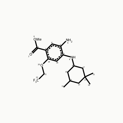 COC(=O)c1cc(N)c(NC2CC(C)CC(C)(C)C2)cc1OCC(F)(F)F